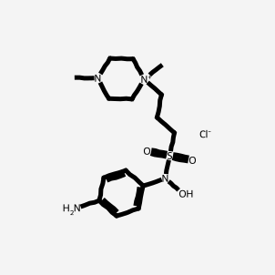 CN1CC[N+](C)(CCCS(=O)(=O)N(O)c2ccc(N)cc2)CC1.[Cl-]